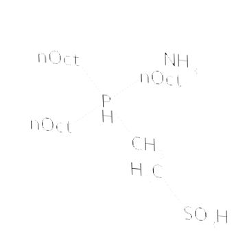 CCCCCCCC[PH](C)(CCCCCCCC)CCCCCCCC.CS(=O)(=O)O.N